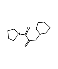 C=C(CN1CCCCC1)C(=O)N1CCCC1